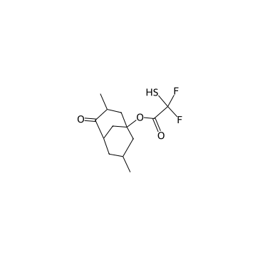 CC1CC2CC(OC(=O)C(F)(F)S)(C1)CC(C)C2=O